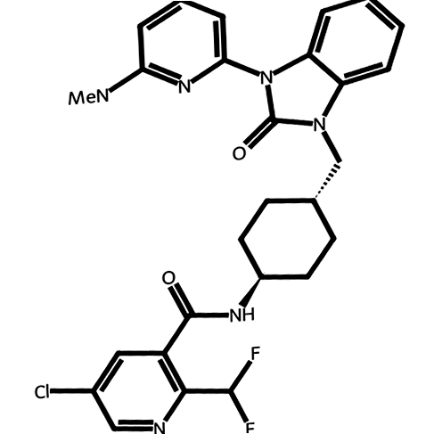 CNc1cccc(-n2c(=O)n(C[C@H]3CC[C@H](NC(=O)c4cc(Cl)cnc4C(F)F)CC3)c3ccccc32)n1